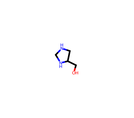 OCC1CNCN1